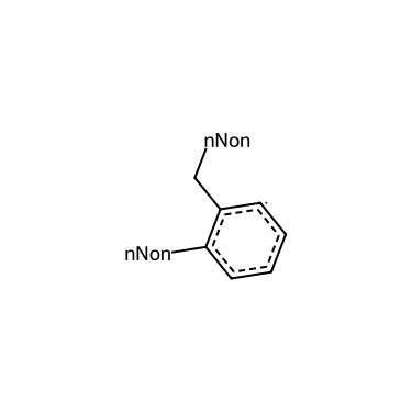 CCCCCCCCCCc1[c]cccc1CCCCCCCCC